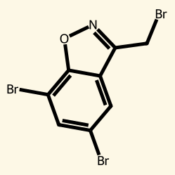 BrCc1noc2c(Br)cc(Br)cc12